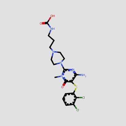 Cn1c(N2CCN(CCCNC(=O)O)CC2)nc(N)c(Sc2cccc(Cl)c2Cl)c1=O